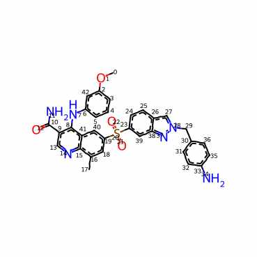 COc1cccc(Nc2c(C(N)=O)cnc3c(C)cc(S(=O)(=O)c4ccc5cn(Cc6ccc(N)cc6)nc5c4)cc23)c1